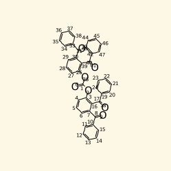 O=C(Oc1cccc(C(=O)c2ccccc2)c1C(=O)c1ccccc1)Oc1cccc(C(=O)c2ccccc2)c1C(=O)c1ccccc1